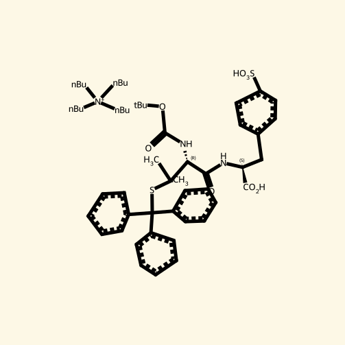 CC(C)(C)OC(=O)N[C@H](C(=O)N[C@@H](Cc1ccc(S(=O)(=O)O)cc1)C(=O)O)C(C)(C)SC(c1ccccc1)(c1ccccc1)c1ccccc1.CCCC[N+](CCCC)(CCCC)CCCC